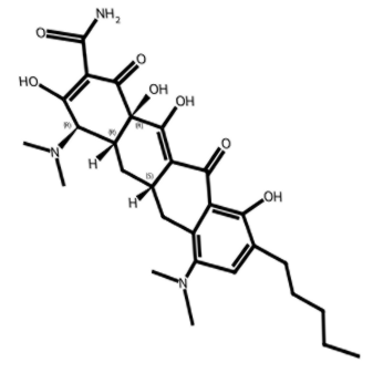 CCCCCc1cc(N(C)C)c2c(c1O)C(=O)C1=C(O)[C@@]3(O)C(=O)C(C(N)=O)=C(O)[C@H](N(C)C)[C@H]3C[C@H]1C2